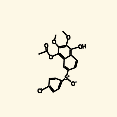 COc1c(OC)c(OC(C)=O)c2cc([S+]([O-])c3ccc(Cl)cc3)ccc2c1O